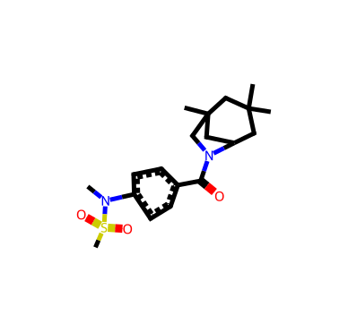 CN(c1ccc(C(=O)N2CC3(C)CC2CC(C)(C)C3)cc1)S(C)(=O)=O